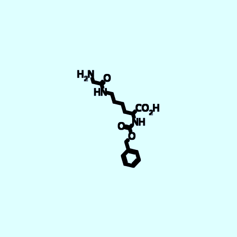 NCC(=O)NCCCCC(NC(=O)OCc1ccccc1)C(=O)O